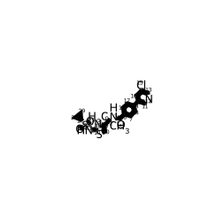 CC(C)(NC(=O)c1ccc(-c2cncc(Cl)c2)cc1)c1csc(NS(=O)(=O)C2CC2)n1